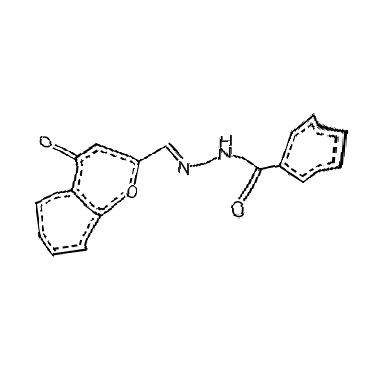 O=C(NN=Cc1cc(=O)c2ccccc2o1)c1ccccc1